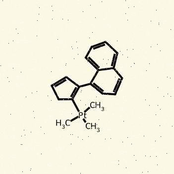 [CH3][Pt]([CH3])([CH3])[C]1=C(c2cccc3ccccc23)C=CC1